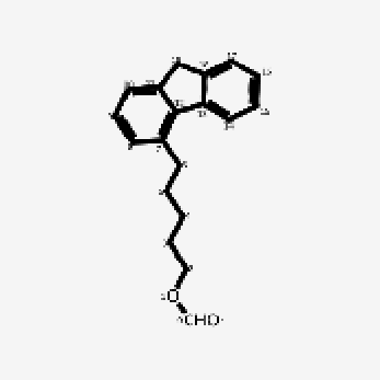 O=[C]OCCCCCc1cccc2c1-c1ccccc1C2